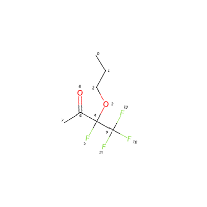 CCCOC(F)(C(C)=O)C(F)(F)F